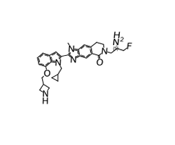 Cn1c(-c2cc3cccc(OCC4CNC4)c3n2CC2CC2)nc2cc3c(cc21)CCN(C[C@H](N)CF)C3=O